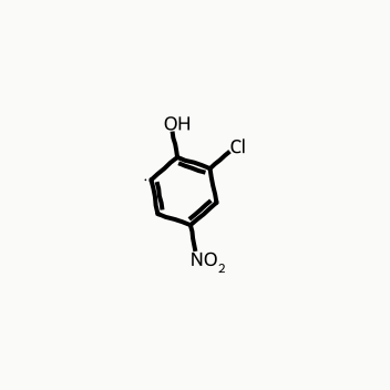 O=[N+]([O-])c1c[c]c(O)c(Cl)c1